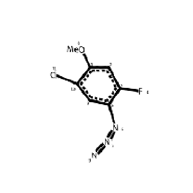 COc1cc(F)c(N=[N+]=[N-])cc1Cl